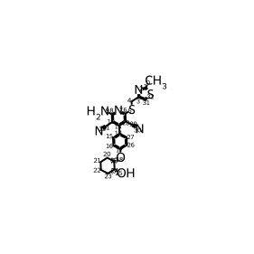 Cc1nc(CSc2nc(N)c(C#N)c(-c3ccc(O[C@H]4CCCC[C@@H]4O)cc3)c2C#N)cs1